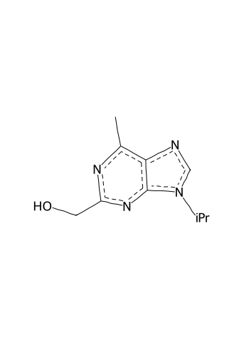 Cc1nc(CO)nc2c1ncn2C(C)C